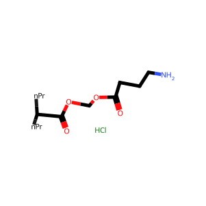 CCCC(CCC)C(=O)OCOC(=O)CCCN.Cl